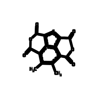 Cc1c(C)c2c3c(sc4c3c1C(=O)OC4=O)C(=O)OC2=O